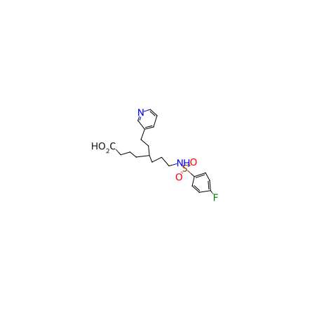 O=C(O)CCCC(CCCNS(=O)(=O)c1ccc(F)cc1)CCc1cccnc1